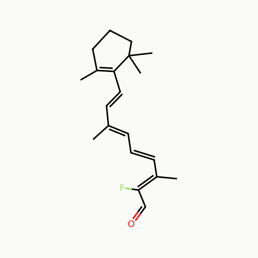 CC(C=CC1=C(C)CCCC1(C)C)=CC=CC(C)=C(F)C=O